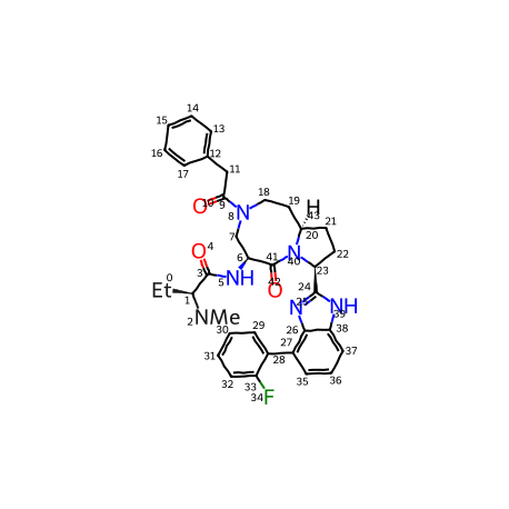 CC[C@H](NC)C(=O)N[C@H]1CN(C(=O)Cc2ccccc2)CC[C@H]2CC[C@@H](c3nc4c(-c5ccccc5F)cccc4[nH]3)N2C1=O